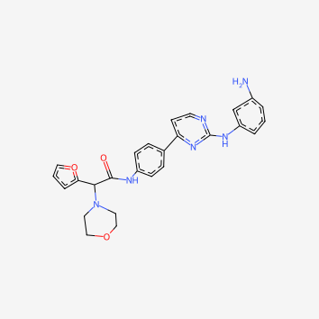 Nc1cccc(Nc2nccc(-c3ccc(NC(=O)C(c4ccco4)N4CCOCC4)cc3)n2)c1